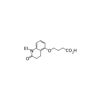 CCN1C(=O)CCc2c(OCCCC(=O)O)cccc21